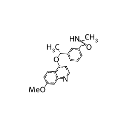 COc1ccc2c(O[C@H](C)c3cccc([S@@](C)(=N)=O)c3)ccnc2c1